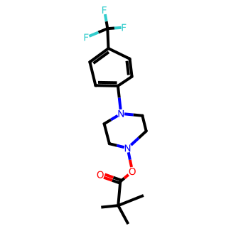 CC(C)(C)C(=O)ON1CCN(c2ccc(C(F)(F)F)cc2)CC1